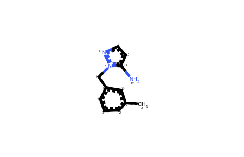 Cc1cccc(Cn2nccc2N)c1